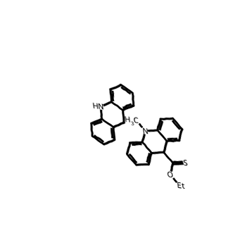 CCOC(=S)C1c2ccccc2N(C)c2ccccc21.c1ccc2c(c1)Cc1ccccc1N2